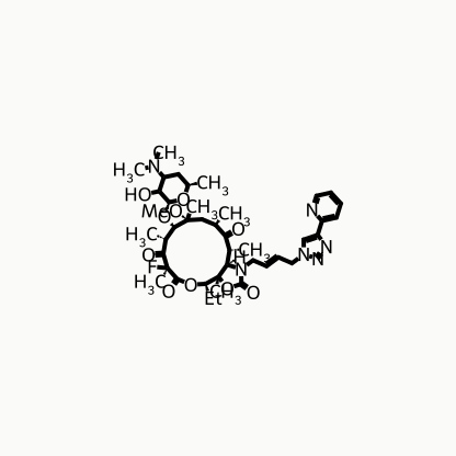 CC[C@H]1OC(=O)[C@@](C)(F)C(=O)[C@H](C)[C@@H](O[C@@H]2O[C@H](C)CC(N(C)C)C2O)[C@](C)(OC)C[C@@H](C)C(=O)[C@H](C)[C@H]2N(C/C=C/Cn3cc(-c4ccccn4)nn3)C(=O)O[C@]12C